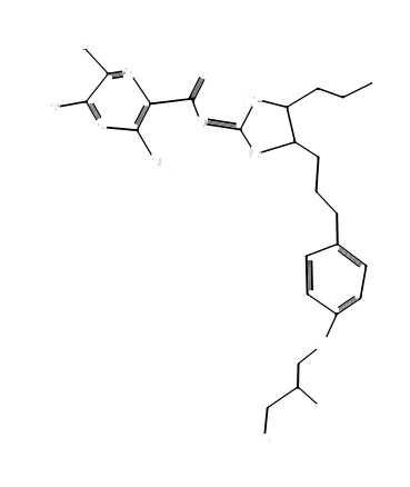 CCCC1NC(=NC(=O)c2nc(Cl)c(N)nc2N)NC1CCCc1ccc(OCC(O)CO)cc1